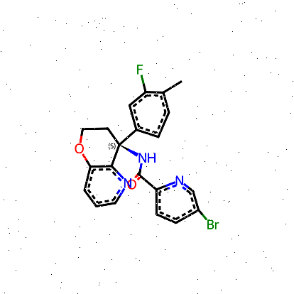 Cc1ccc([C@@]2(NC(=O)c3ccc(Br)cn3)CCOc3cccnc32)cc1F